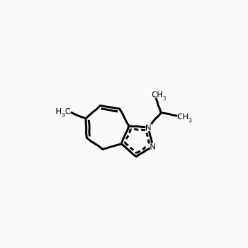 CC1=CCc2cnn(C(C)C)c2C=C1